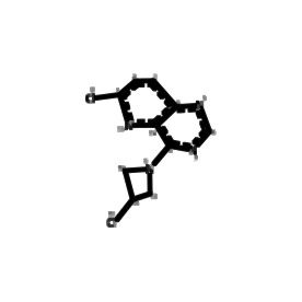 Clc1ccc2ncnc(N3CC(Cl)C3)c2n1